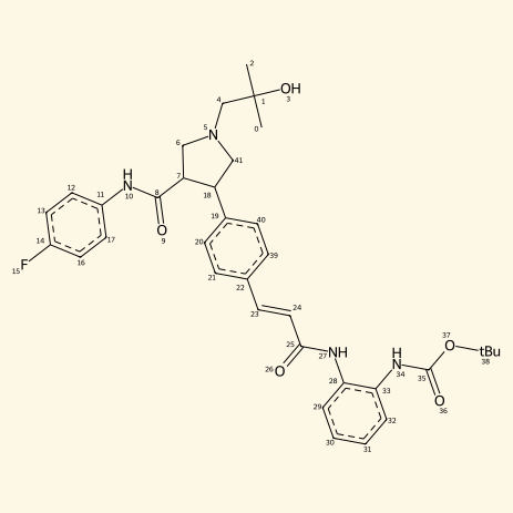 CC(C)(O)CN1CC(C(=O)Nc2ccc(F)cc2)C(c2ccc(/C=C/C(=O)Nc3ccccc3NC(=O)OC(C)(C)C)cc2)C1